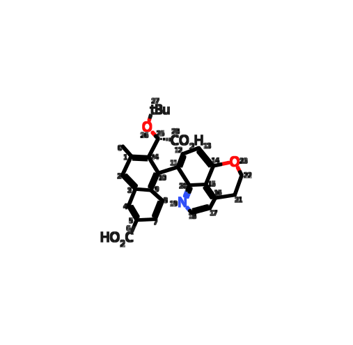 Cc1cc2cc(C(=O)O)ccc2c(-c2ccc3c4c(ccnc24)CCO3)c1[C@H](OC(C)(C)C)C(=O)O